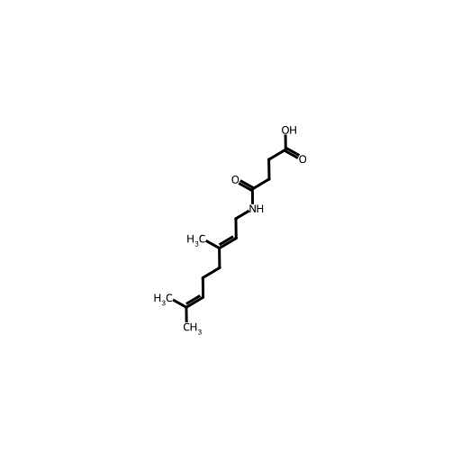 CC(C)=CCC/C(C)=C/CNC(=O)CCC(=O)O